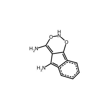 NC1=C2C(N)=c3ccccc3=C2ONO1